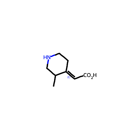 CC1CNCC/C1=C\C(=O)O